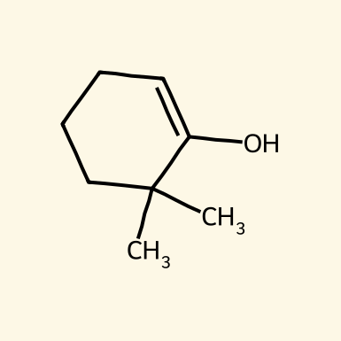 CC1(C)CCCC=C1O